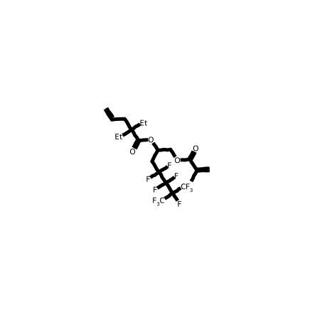 C=CCC(CC)(CC)C(=O)OC(COC(=O)C(=C)C)CC(F)(F)C(F)(F)C(F)(C(F)(F)F)C(F)(F)F